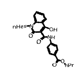 CCCCCCn1c(=O)c(C(=O)Nc2ccc(C(=O)OCCC)cc2)c(O)c2ccccc21